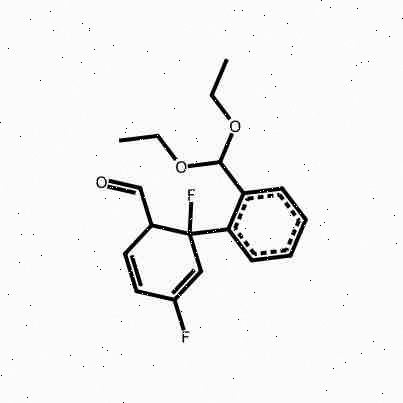 CCOC(OCC)c1ccccc1C1(F)C=C(F)C=CC1C=O